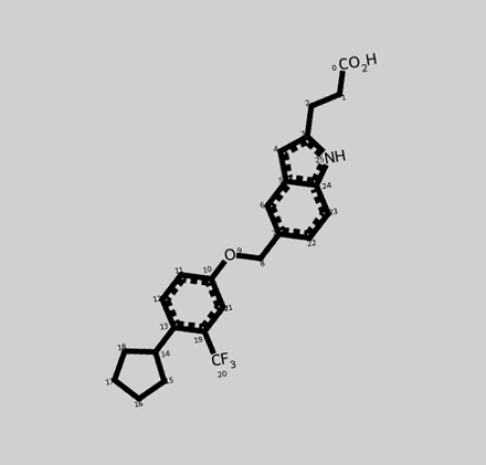 O=C(O)CCc1cc2cc(COc3ccc(C4CCCC4)c(C(F)(F)F)c3)ccc2[nH]1